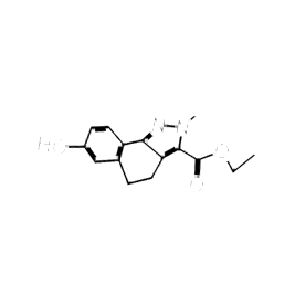 CCOC(=O)c1c2c(nn1C)-c1ccc(O)cc1CC2